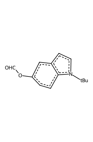 CC(C)(C)n1ccc2cc(OC=O)ccc21